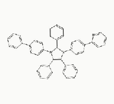 c1ccc(B2N(c3ccc(-c4cccnc4)cc3)C(c3ccccc3)=C(c3ccccc3)N2c2ccc(-c3ccccn3)cc2)cc1